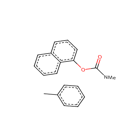 CNC(=O)Oc1cccc2ccccc12.Cc1ccccc1